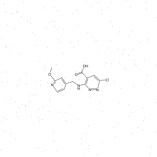 COc1cc(CNc2nnc(Cl)cc2C(=O)O)ccn1